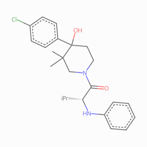 CC(C)[C@@H](Nc1ccccc1)C(=O)N1CCC(O)(c2ccc(Cl)cc2)C(C)(C)C1